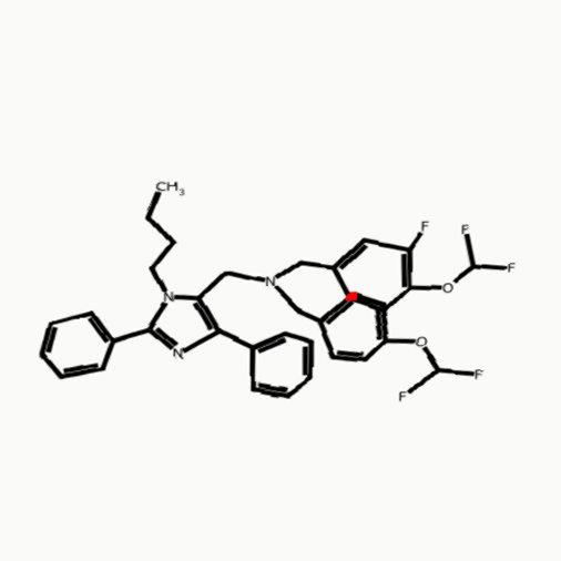 CCCCn1c(-c2ccccc2)nc(-c2ccccc2)c1CN(Cc1ccc(OC(F)F)cc1)Cc1ccc(OC(F)F)c(F)c1